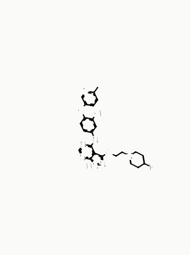 Cc1ccc(Oc2ccc(Nc3ncnc4[nH]nc(OCCN5CCC(F)CC5)c34)cc2Cl)cn1